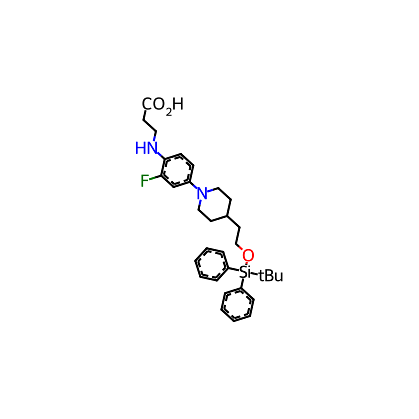 CC(C)(C)[Si](OCCC1CCN(c2ccc(NCCC(=O)O)c(F)c2)CC1)(c1ccccc1)c1ccccc1